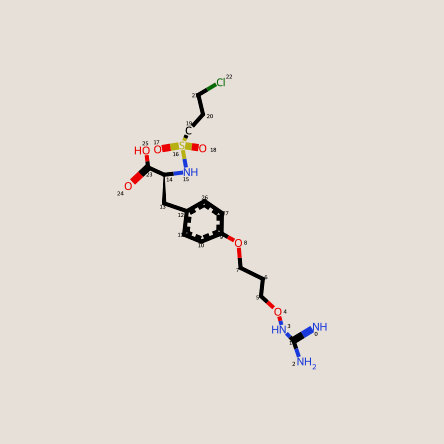 N=C(N)NOCCCOc1ccc(C[C@H](NS(=O)(=O)CCCCl)C(=O)O)cc1